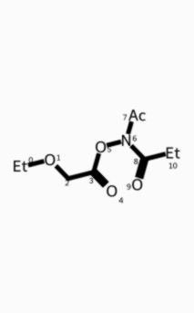 CCOCC(=O)ON(C(C)=O)C(=O)CC